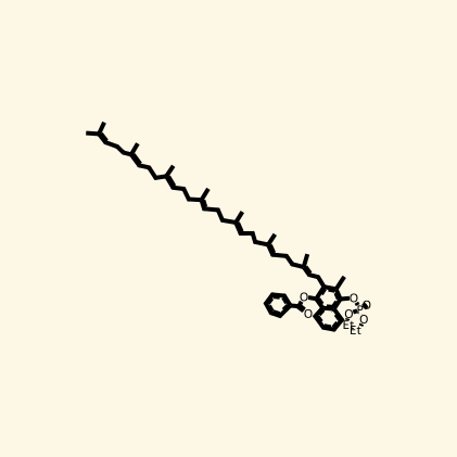 CCOP(=O)(OCC)Oc1c(C)c(C/C=C(\C)CC/C=C(\C)CC/C=C(\C)CC/C=C(\C)CC/C=C(\C)CC/C=C(\C)CCC=C(C)C)c(OC(=O)c2ccccc2)c2ccccc12